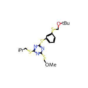 COCSc1nc(SCC(C)C)nc(Sc2cccc(SCOC(C)(C)C)c2)n1